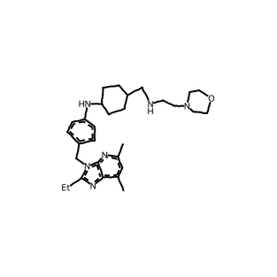 CCc1nc2c(C)cc(C)nc2n1Cc1ccc(NC2CCC(CNCCN3CCOCC3)CC2)cc1